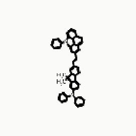 CC1(C)c2cc(/C=C/c3cc4ccc5cccc6c5c4c(c3)n6-c3ccccc3)ccc2-c2ccc(N(c3ccccc3)c3ccccc3)cc21